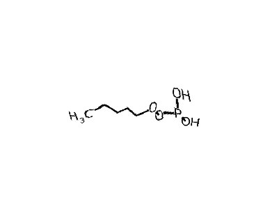 CCCCCOOP(O)O